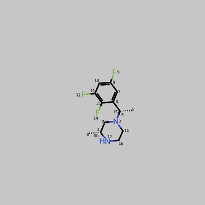 C[C@@H]1CN([C@@H](C)c2cc(F)cc(F)c2F)CCN1